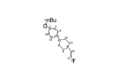 CCCCOc1ccc(C2CCC(C=CF)CC2)cc1